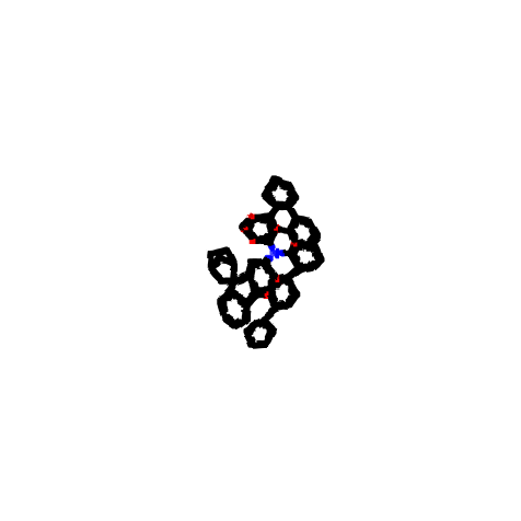 c1ccc(-c2ccc(-c3ccccc3N(c3ccc4c(c3)C3(CC5CCC3C5)c3ccccc3-4)c3ccccc3-c3ccccc3-c3ccccc3-c3ccccc3)cc2)cc1